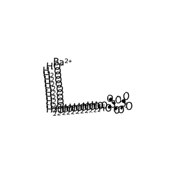 O.O.O.O.O.O.O.O.O.O.O.O.O.O.O.O.O.O.O.O.O=S(=O)([O-])OS(=O)(=O)O.[Ba+2].[OH-]